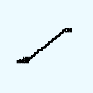 CCCCCCCCCNCCCCCCCCCCCCCCCCCCCCO